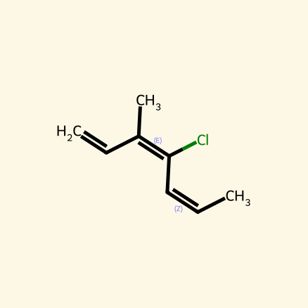 C=C/C(C)=C(Cl)\C=C/C